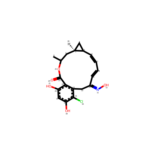 CC1C[C@H]2CC2\C=C/C=C/C(=N\O)Cc2c(Cl)c(O)cc(O)c2C(=O)O1